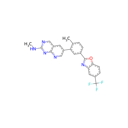 CNc1ncc2cc(-c3cc(-c4nc5cc(C(F)(F)F)ccc5o4)ccc3C)cnc2n1